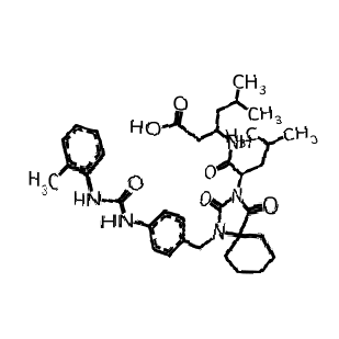 Cc1ccccc1NC(=O)Nc1ccc(CN2C(=O)N(C(CC(C)C)C(=O)NC(CC(=O)O)CC(C)C)C(=O)C23CCCCC3)cc1